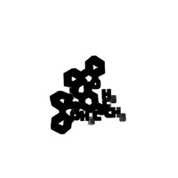 CC(C)(C)C1CC2B3Oc4ccccc4-c4cccc(c43)N3c4cccc5c4B(Oc4ccccc4-5)C(C1)C23